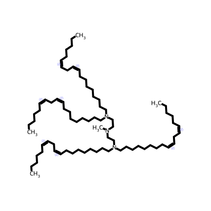 CCCCC/C=C\C/C=C\CCCCCCCCN(CCCCCCCC/C=C\C/C=C\CCCCC)CCN(C)CCN(CCCCCCCC/C=C\C/C=C\CCCCC)CCCCCCCC/C=C\C/C=C\CCCCC